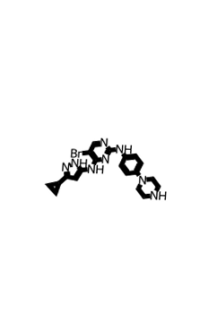 Brc1cnc(Nc2ccc(N3CCNCC3)cc2)nc1Nc1cc(C2CC2)n[nH]1